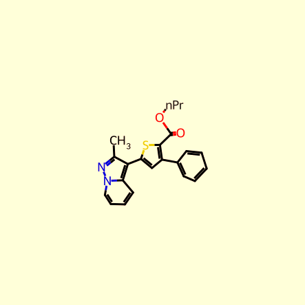 CCCOC(=O)c1sc(-c2c(C)nn3ccccc23)cc1-c1ccccc1